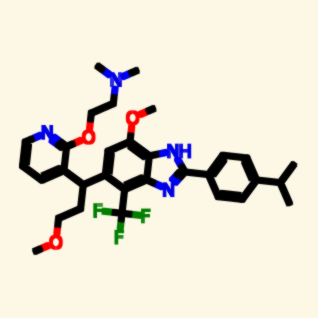 COCCC(c1cccnc1OCCN(C)C)c1cc(OC)c2[nH]c(-c3ccc(C(C)C)cc3)nc2c1C(F)(F)F